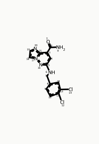 NC(=O)c1cc(NCc2ccc(Cl)c(Cl)c2)nn2[c]cnc12